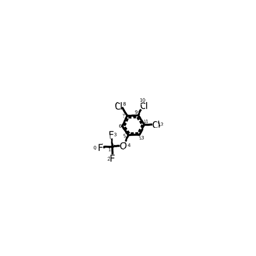 FC(F)(F)Oc1cc(Cl)c(Cl)c(Cl)c1